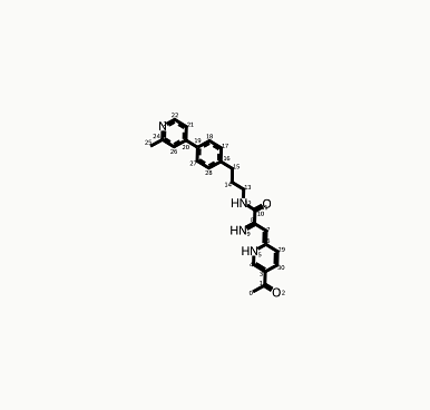 CC(=O)C1=CN/C(=C\C(=N)C(=O)NCCCc2ccc(-c3ccnc(C)c3)cc2)C=C1